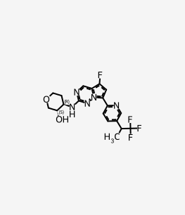 CC(c1ccc(-c2cc(F)c3cnc(N[C@@H]4CCOC[C@H]4O)nn23)nc1)C(F)(F)F